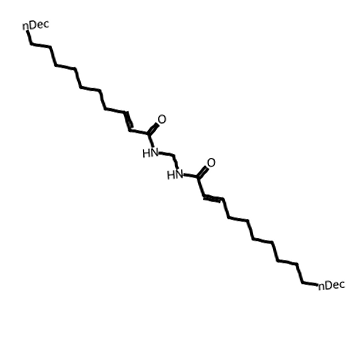 CCCCCCCCCCCCCCCCCC=CC(=O)NCNC(=O)C=CCCCCCCCCCCCCCCCCC